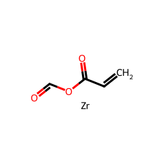 C=CC(=O)OC=O.[Zr]